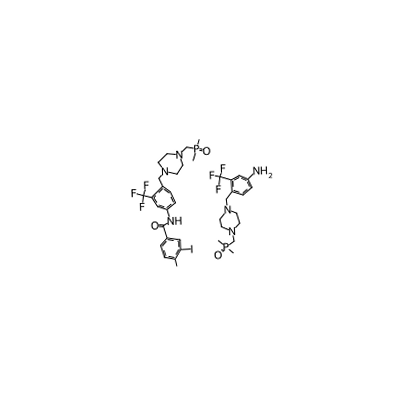 CP(C)(=O)CN1CCN(Cc2ccc(N)cc2C(F)(F)F)CC1.Cc1ccc(C(=O)Nc2ccc(CN3CCN(CP(C)(C)=O)CC3)c(C(F)(F)F)c2)cc1I